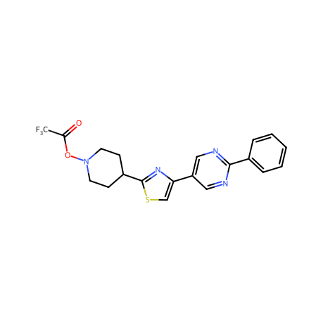 O=C(ON1CCC(c2nc(-c3cnc(-c4ccccc4)nc3)cs2)CC1)C(F)(F)F